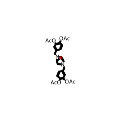 CC(=O)Oc1ccc(CN2CC3CC2CN3Cc2ccc(OC(C)=O)c(OC(C)=O)c2)cc1OC(C)=O